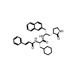 O=C(C=Cc1ccccc1)N[C@@H](CC1CCCCC1)C(=O)N[C@H](Cc1ccc2ccccc2c1)C[C@@H]1CCNC1=O